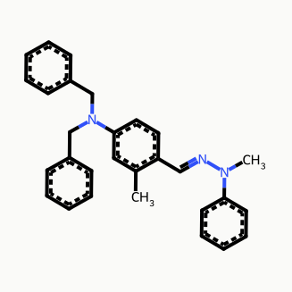 Cc1cc(N(Cc2ccccc2)Cc2ccccc2)ccc1C=NN(C)c1ccccc1